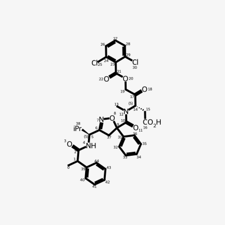 CC(C(=O)N[C@H](C1=NOC(C(=O)N(C)[C@@H](CC(=O)O)C(=O)COC(=O)c2c(Cl)cccc2Cl)(c2ccccc2)C1)C(C)C)c1ccccc1